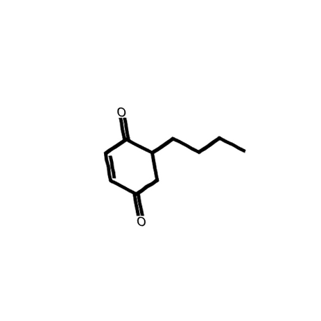 CCCCC1CC(=O)C=CC1=O